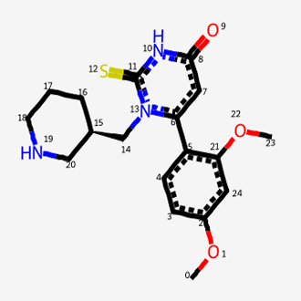 COc1ccc(-c2cc(=O)[nH]c(=S)n2C[C@@H]2CCCNC2)c(OC)c1